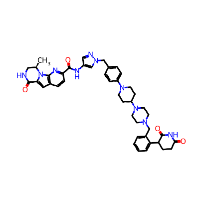 C[C@@H]1CNC(=O)c2cc3ccc(C(=O)Nc4cnn(Cc5ccc(N6CCC(N7CCN(Cc8ccccc8C8CCC(=O)NC8=O)CC7)CC6)cc5)c4)nc3n21